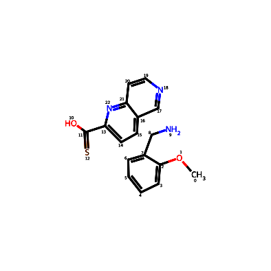 COc1ccccc1CN.OC(=S)c1ccc2cnccc2n1